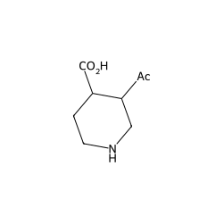 CC(=O)C1CNCCC1C(=O)O